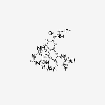 Cc1c(-c2c(-c3ccc(C(=O)NCC(C)C)cc3)c3c(N)ncnc3n2C)cnc(Cl)c1F